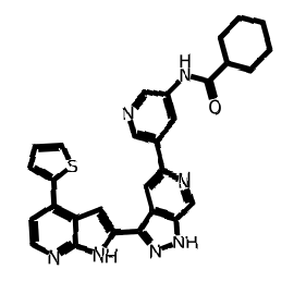 O=C(Nc1cncc(-c2cc3c(-c4cc5c(-c6cccs6)ccnc5[nH]4)n[nH]c3cn2)c1)C1CCCCC1